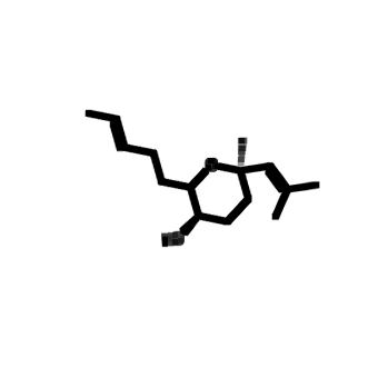 CC=CCCC1O[C@@](C)(C=C(C)C)CC[C@H]1O